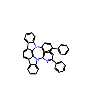 c1ccc(-c2ccc(-n3c4ccccc4c4ccc5c6ccccc6n(-c6cccc(-c7ccccc7)n6)c5c43)cc2)cc1